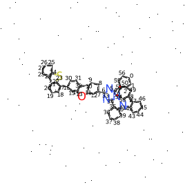 c1ccc(-c2nc(-c3ccc4c(c3)oc3cc(-c5cccc6c5sc5ccccc56)ccc34)nc(-c3ccccc3-n3c4ccccc4c4ccccc43)n2)cc1